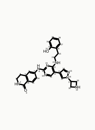 O=C1NCCc2cc(Nc3ncc(-c4cnn(C5CNC5)c4)c(NCCc4ccccc4O)n3)ccc21